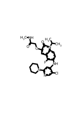 CNC(=O)COc1cc2c(F)c(Nc3cc(N4CCCCC4)ncc3Cl)ccc2n(C(C)C)c1=O